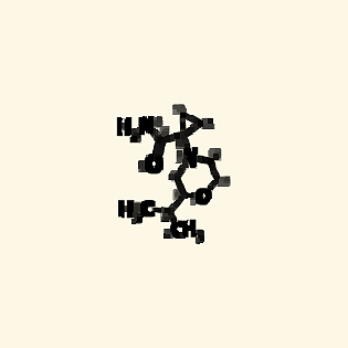 CC(C)C1CN(C2(C(N)=O)CC2)CCO1